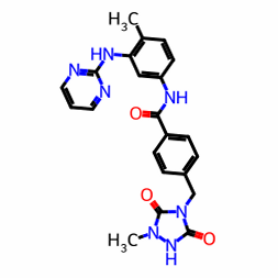 Cc1ccc(NC(=O)c2ccc(Cn3c(=O)[nH]n(C)c3=O)cc2)cc1Nc1ncccn1